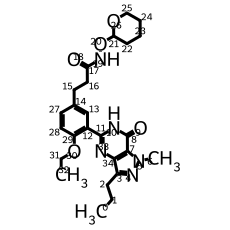 CCCc1nn(C)c2c(=O)[nH]c(-c3cc(CCC(=O)NOC4CCCCO4)ccc3OCC)nc12